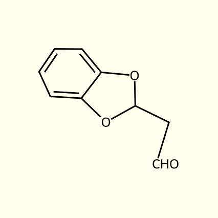 O=CCC1Oc2ccccc2O1